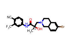 C[C@](O)(CN1CCC2C=C(Br)C=CC2C1)C(=O)Nc1ccc(C#N)c(C(F)(F)F)c1